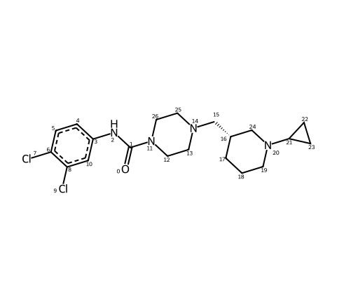 O=C(Nc1ccc(Cl)c(Cl)c1)N1CCN(C[C@H]2CCCN(C3CC3)C2)CC1